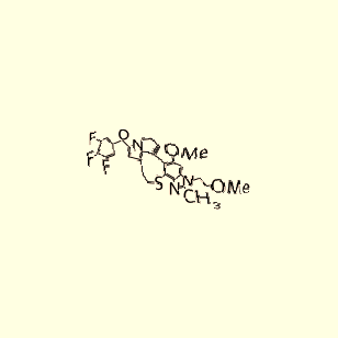 COCCn1c(C)nc2c3c(c(OC)cc21)-c1cccn2c(C(=O)c4cc(F)c(F)c(F)c4)cc(c12)CCS3